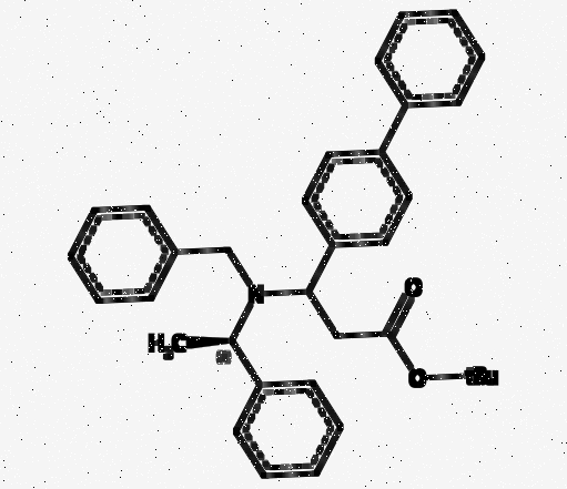 C[C@H](c1ccccc1)N(Cc1ccccc1)C(CC(=O)OC(C)(C)C)c1ccc(-c2ccccc2)cc1